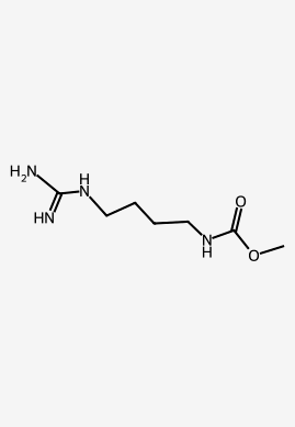 COC(=O)NCCCCNC(=N)N